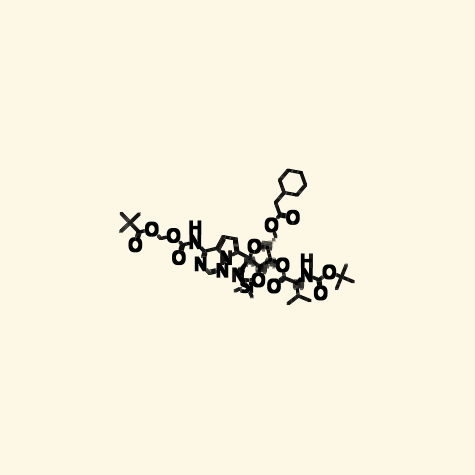 CC(C)[C@H](NC(=O)OC(C)(C)C)C(=O)O[C@H]1[C@@H](O[Si](C)(C)C)[C@](C#N)(c2ccc3c(NC(=O)OCOC(=O)C(C)(C)C)ncnn23)O[C@@H]1COC(=O)CC1CCCCC1